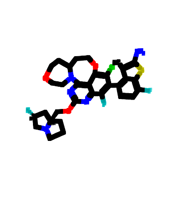 N#Cc1c(N)sc2c(F)ccc(-c3c(Cl)c4c5c(nc(OC[C@@]67CCCN6C[C@H](F)C7)nc5c3F)N3CCOCCC3CCO4)c12